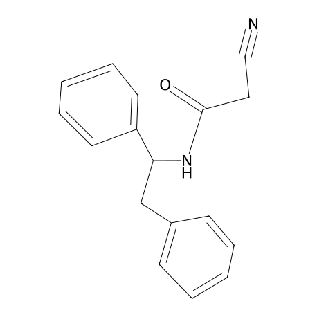 N#CCC(=O)NC(Cc1ccccc1)c1ccccc1